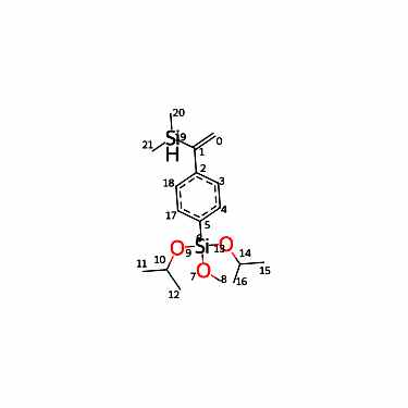 C=C(c1ccc([Si](OC)(OC(C)C)OC(C)C)cc1)[SiH](C)C